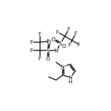 CCc1[nH]cc[n+]1C.O=S(=O)([N-]S(=O)(=O)C(F)(F)C(F)(F)F)C(F)(F)C(F)(F)F